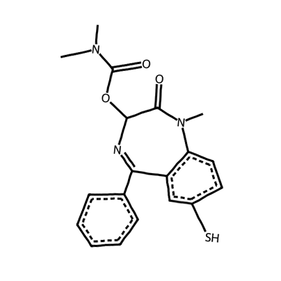 CN(C)C(=O)OC1N=C(c2ccccc2)c2cc(S)ccc2N(C)C1=O